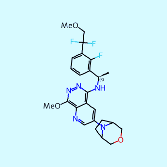 COCC(F)(F)c1cccc([C@@H](C)Nc2nnc(OC)c3ncc(N4C5CCC4COC5)cc23)c1F